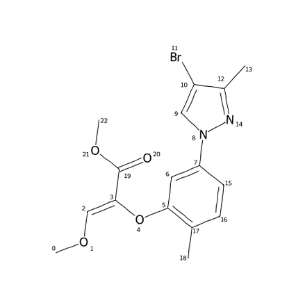 CO/C=C(\Oc1cc(-n2cc(Br)c(C)n2)ccc1C)C(=O)OC